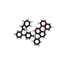 c1ccc(-c2ccc(-c3ccccc3N(c3ccc(-c4ccccc4)cc3)c3ccc(-c4ccccc4-c4cc5ccccc5o4)cc3)cc2)cc1